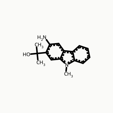 Cn1c2ccccc2c2cc(N)c(C(C)(C)O)cc21